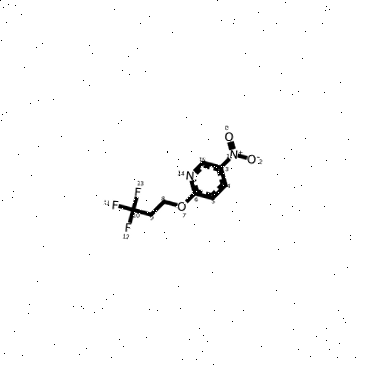 O=[N+]([O-])c1ccc(OCCC(F)(F)F)nc1